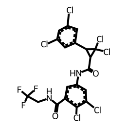 O=C(NCC(F)(F)F)c1cc(NC(=O)C2C(c3cc(Cl)cc(Cl)c3)C2(Cl)Cl)cc(Cl)c1Cl